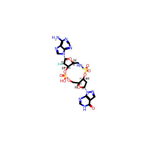 Nc1ncnc2c1ncn2[C@@H]1O[C@@H]2CNS(=O)(=O)O[C@H]3C[C@H](n4ncc5c(=O)[nH]cnc54)O[C@@H]3COP(=O)(O)O[C@H]2[C@H]1F